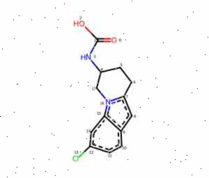 O=C(O)NC1CCc2cc3ccc(Cl)cc3n2C1